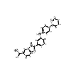 O=C(O)c1cc2[nH]c(-c3cccc(Nc4ccc(-c5cccnn5)cc4)c3)nc2cn1